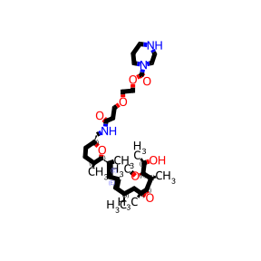 CO[C@H]([C@@H](C)[C@H]1O[C@]1(C)C[C@H](C)/C=C/C=C(\C)[C@H]1O[C@@H](CNC(=O)CCOCCOC(=O)N2CCCNCC2)CC[C@@H]1C)[C@@H](C)O